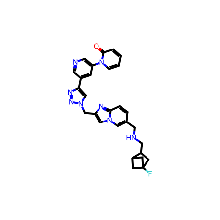 O=c1ccccn1-c1cncc(-c2cn(Cc3cn4cc(CNCC5CC6(F)CC5C6)ccc4n3)nn2)c1